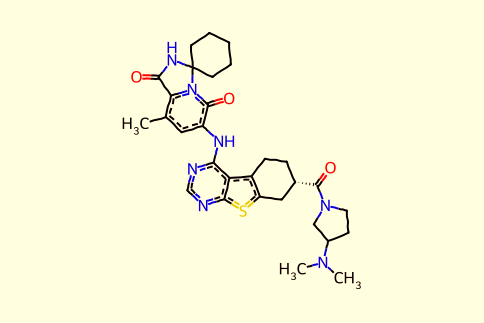 Cc1cc(Nc2ncnc3sc4c(c23)CC[C@H](C(=O)N2CCC(N(C)C)C2)C4)c(=O)n2c1C(=O)NC21CCCCC1